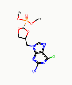 CC(C)OP(=O)(OC(C)C)[C@H]1OC[C@H](Cn2cnc3c(Cl)nc(N)nc32)O1